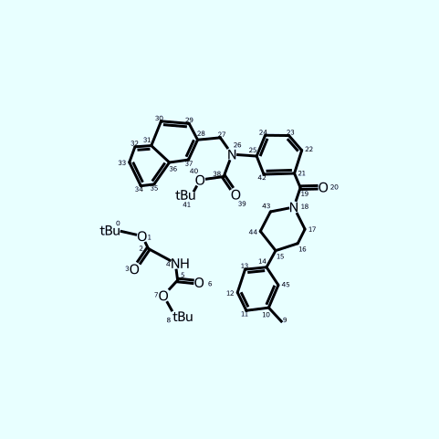 CC(C)(C)OC(=O)NC(=O)OC(C)(C)C.Cc1cccc(C2CCN(C(=O)c3cccc(N(Cc4ccc5ccccc5c4)C(=O)OC(C)(C)C)c3)CC2)c1